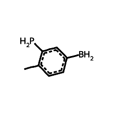 Bc1ccc(C)c(P)c1